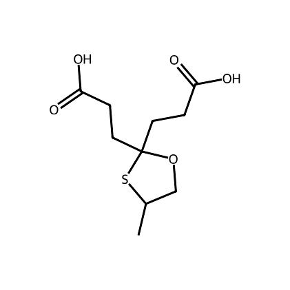 CC1COC(CCC(=O)O)(CCC(=O)O)S1